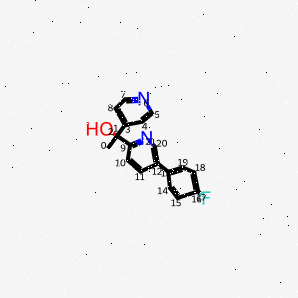 CC(O)(c1ccncc1)c1ccc(-c2ccc(F)cc2)cn1